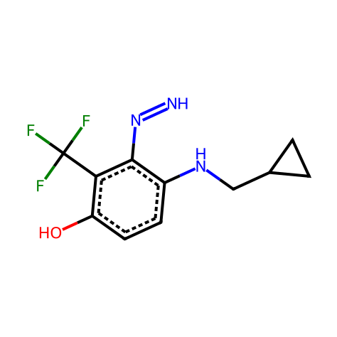 N=Nc1c(NCC2CC2)ccc(O)c1C(F)(F)F